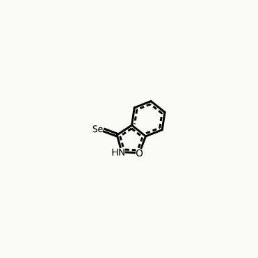 [Se]=c1[nH]oc2ccccc12